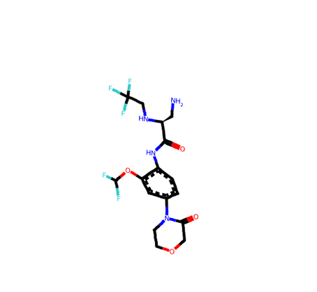 NC[C@H](NCC(F)(F)F)C(=O)Nc1ccc(N2CCOCC2=O)cc1OC(F)F